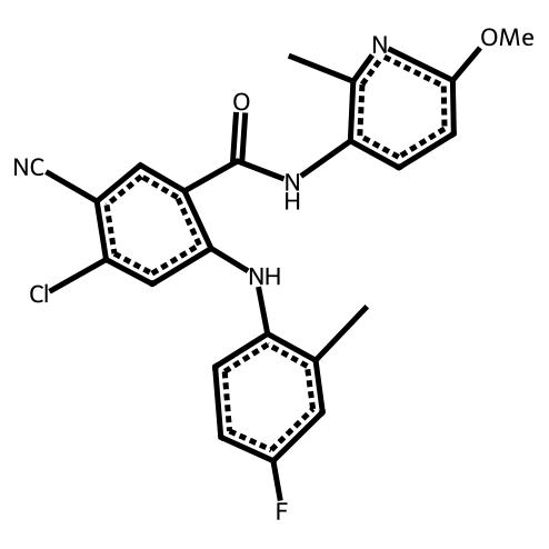 COc1ccc(NC(=O)c2cc(C#N)c(Cl)cc2Nc2ccc(F)cc2C)c(C)n1